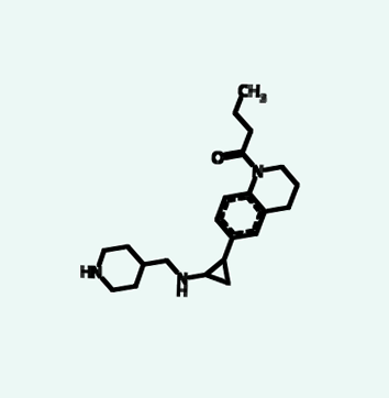 CCCC(=O)N1CCCc2cc(C3CC3NCC3CCNCC3)ccc21